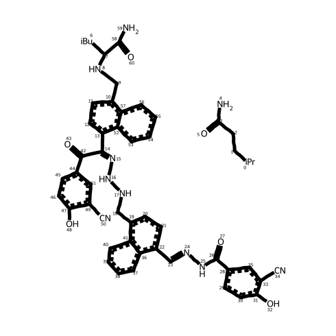 CC(C)CCC(N)=O.CCC(C)C(NCc1ccc(C(=NNNCc2ccc(C=NNC(=O)c3ccc(O)c(C#N)c3)c3ccccc23)C(=O)c2ccc(O)c(C#N)c2)c2ccccc12)C(N)=O